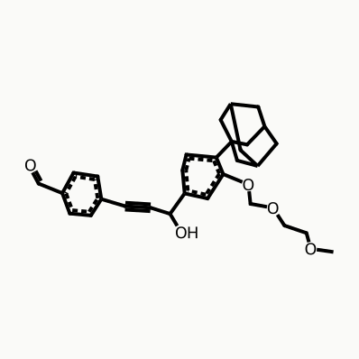 COCCOCOc1cc(C(O)C#Cc2ccc(C=O)cc2)ccc1C12CC3CC(CC(C3)C1)C2